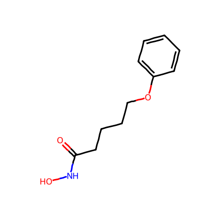 O=C(CCCCOc1ccccc1)NO